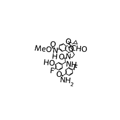 COC(=O)Nc1ccc(S(=O)(=O)C2CC2)c([C@H]2[C@@H](C=O)CCN2C(=O)[C@H](Nc2cc(C(N)=O)ccc2F)c2ccc(F)c(O)c2)c1